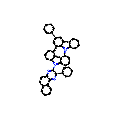 c1ccc(-c2cc3c4cccc5c4c4c(cccc4n4c6ccccc6c(c2)c34)n5-c2nc3ccc4ccccc4c3nc2-c2ccccc2)cc1